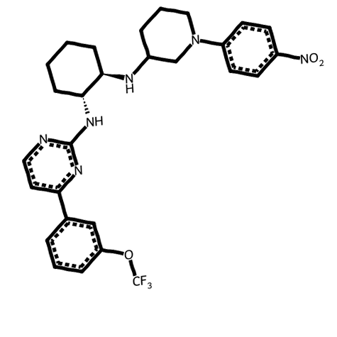 O=[N+]([O-])c1ccc(N2CCCC(N[C@@H]3CCCC[C@H]3Nc3nccc(-c4cccc(OC(F)(F)F)c4)n3)C2)cc1